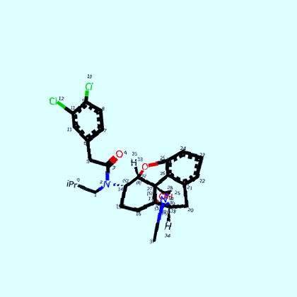 CC(C)CN(C(=O)Cc1ccc(Cl)c(Cl)c1)[C@H]1CC[C@@]2(O)[C@H]3Cc4cccc5c4[C@@]2(CCN3C)[C@H]1O5